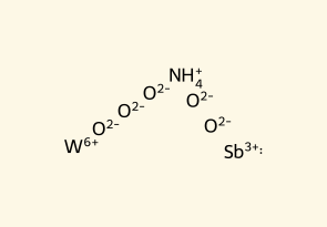 [NH4+].[O-2].[O-2].[O-2].[O-2].[O-2].[Sb+3].[W+6]